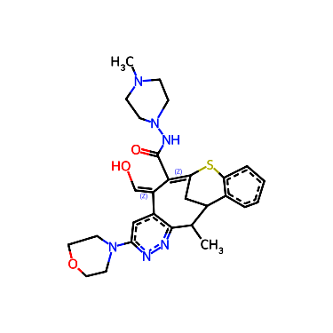 CC1c2nnc(N3CCOCC3)cc2C(=C/O)/C(C(=O)NN2CCN(C)CC2)=C2\CC1c1ccccc1S2